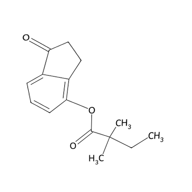 CCC(C)(C)C(=O)Oc1cccc2c1CCC2=O